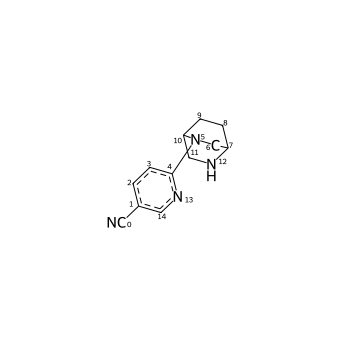 N#Cc1ccc(N2CC3CCC2CN3)nc1